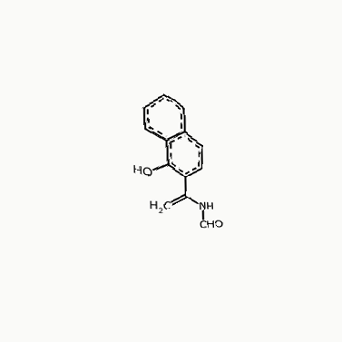 C=C(NC=O)c1ccc2ccccc2c1O